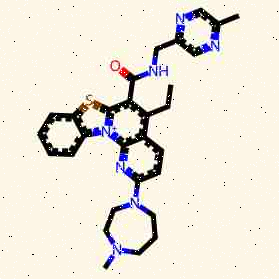 CCc1c(C(=O)NCc2cnc(C)cn2)c2sc3ccccc3[n+]2c2nc(N3CCCN(C)CC3)ccc12